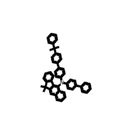 CC(C)(c1ccccc1)c1ccc(-c2ccc(N(c3ccc(-c4ccccc4)cc3)c3c4c(cc5ccccc35)C(C)(C)c3ccccc3-4)cc2)cc1